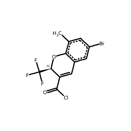 Cc1cc(Br)cc2c1O[C@H](C(F)(F)F)C(C(=O)Cl)=C2